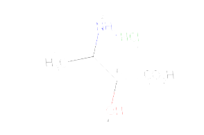 CC(N)[C@@H](O)C(=O)O.Cl